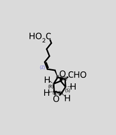 O=C[C@@H]1[C@H](C/C=C\CCCC(=O)O)[C@H]2C(=O)[C@@H]1[C@H]1O[C@H]12